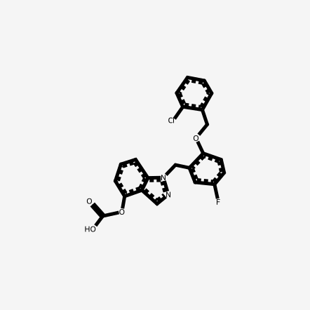 O=C(O)Oc1cccc2c1cnn2Cc1cc(F)ccc1OCc1ccccc1Cl